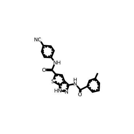 Cc1cccc(C(=O)Nc2n[nH]c3sc(C(=O)Nc4ccc(C#N)cc4)cc23)c1